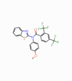 COc1ccc(N(C(=O)c2ccc(C(F)(F)F)cc2C(F)(F)F)c2nc3ccccc3s2)cc1